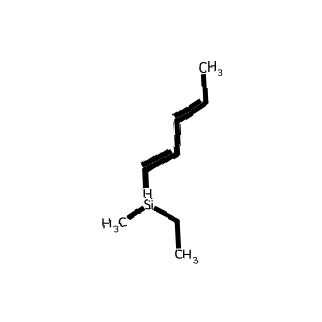 CC=CC=C[SiH](C)CC